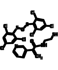 C=C(C(=O)NCCS)c1cccnc1.Clc1cc(Cl)c(SOSc2c(Cl)cc(Cl)cc2Cl)c(Cl)c1